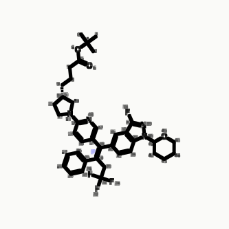 CC(C)(C)OC(=O)CCC[C@H]1CCN(c2ccc(/C(=C(/CC(F)(F)F)c3ccccc3)c3ccc4c(c3)c(F)nn4C3CCCCO3)cn2)C1